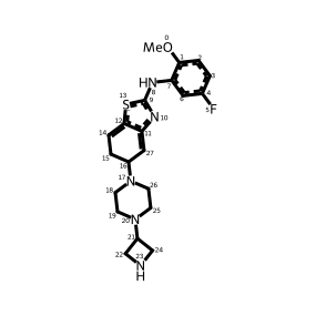 COc1ccc(F)cc1Nc1nc2c(s1)=CCC(N1CCN(C3CNC3)CC1)C=2